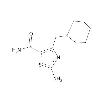 NC(=O)c1sc(N)nc1CC1CCCCC1